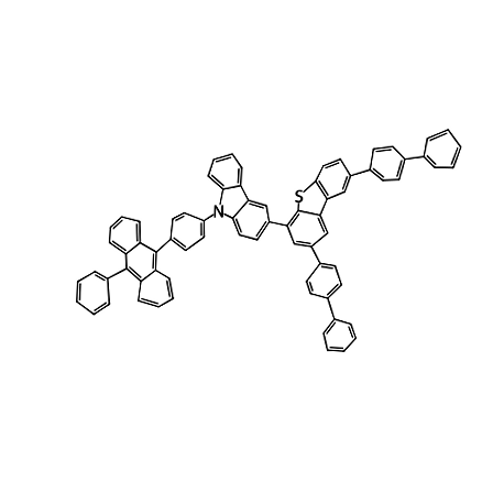 c1ccc(-c2ccc(-c3ccc4sc5c(-c6ccc7c(c6)c6ccccc6n7-c6ccc(-c7c8ccccc8c(-c8ccccc8)c8ccccc78)cc6)cc(-c6ccc(-c7ccccc7)cc6)cc5c4c3)cc2)cc1